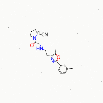 Cc1cccc(-c2nc(CCNCC(=O)N3CCC[C@H]3C#N)c(C)o2)c1